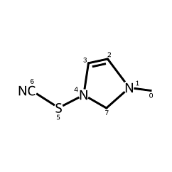 CN1C=CN(SC#N)C1